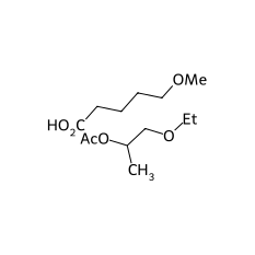 CCOCC(C)OC(C)=O.COCCCCC(=O)O